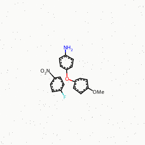 COc1ccc(Oc2ccc(N)cc2)cc1.O=[N+]([O-])c1ccc(F)cc1